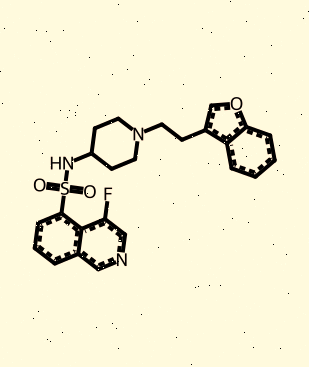 O=S(=O)(NC1CCN(CCc2coc3ccccc23)CC1)c1cccc2cncc(F)c12